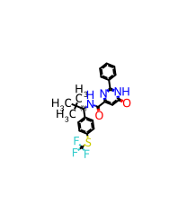 CC(C)(C)[C@@H](NC(=O)c1cc(=O)[nH]c(-c2ccccc2)n1)c1ccc(SC(F)(F)F)cc1